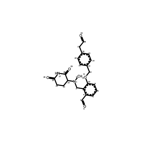 CN(Cc1c(C=O)cccc1OCc1ccc(CC=O)cc1)C1CCC(=O)NC1=O